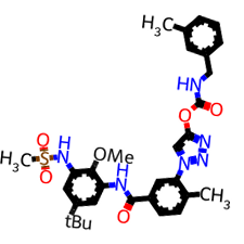 COc1c(NC(=O)c2ccc(C)c(-n3cc(OC(=O)NCc4cccc(C)c4)nn3)c2)cc(C(C)(C)C)cc1NS(C)(=O)=O